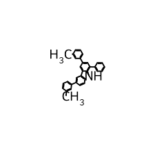 Cc1cccc(-c2ccc3[nH]c4c(-c5ccccc5)cc(-c5cccc(C)c5)cc4c3c2)c1